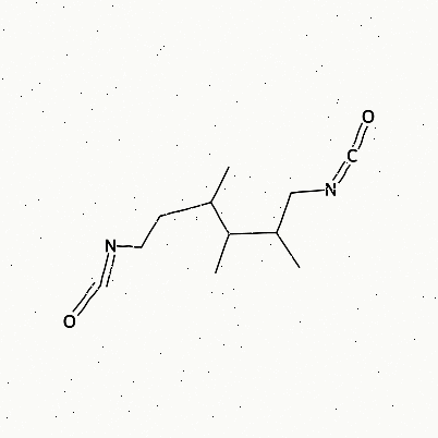 CC(CCN=C=O)C(C)C(C)CN=C=O